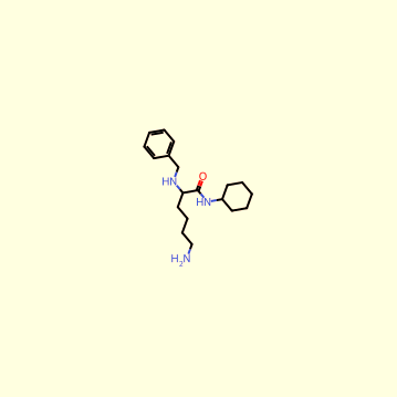 NCCCCC(NCc1ccccc1)C(=O)NC1CCCCC1